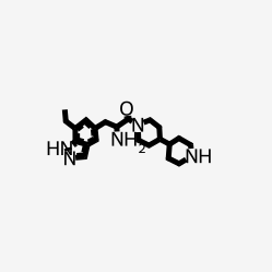 CCc1cc(CC(N)C(=O)N2CCC(C3CCNCC3)CC2)cc2cn[nH]c12